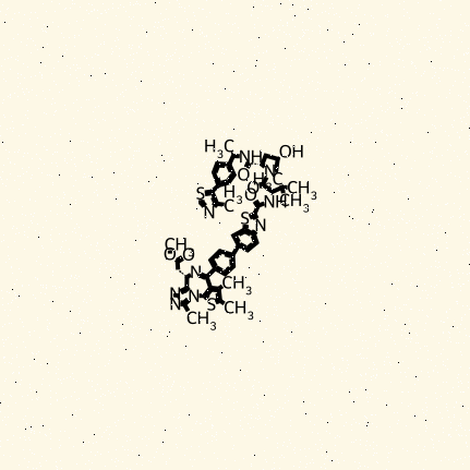 COC(=O)C[C@@H]1N=C(c2ccc(-c3ccc4nc(C(=O)N[C@H](C(=O)N5C[C@H](O)C[C@H]5C(=O)N[C@@H](C)c5ccc(-c6scnc6C)cc5)C(C)(C)C)sc4c3)cc2)c2c(sc(C)c2C)-n2c(C)nnc21